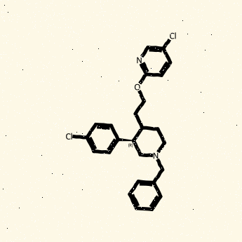 Clc1ccc([C@@H]2CN(Cc3ccccc3)CCC2CCOc2ccc(Cl)cn2)cc1